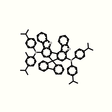 Cc1cc(C(C)C)ccc1N(c1ccc(C(C)C)cc1)c1cc2c(c3oc4ccccc4c13)-c1c(cc(N(c3ccc(C(C)C)cc3)c3ccc(C(C)C)cc3)c3oc4ccccc4c13)C21c2ccccc2-c2ccccc21